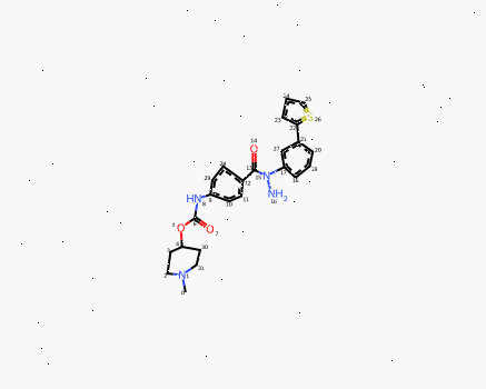 CN1CCC(OC(=O)Nc2ccc(C(=O)N(N)c3cccc(-c4cccs4)c3)cc2)CC1